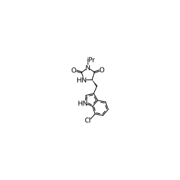 CC(C)N1C(=O)N[C@H](Cc2c[nH]c3c(Cl)cccc23)C1=O